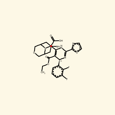 CCOC(=O)C1=C(CN2C3COCC2CC(N)(C(=O)O)C3)NC(c2nccs2)=N[C@H]1c1cccc(F)c1F